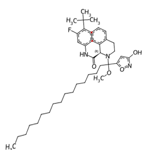 CCCCCCCCCCCCCCCCC(OC)(c1cc(O)no1)N1CCc2ccccc2[C@@H]1C(=O)Nc1ccc(C(C)(C)C)c(F)c1